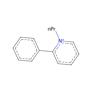 CCC[n+]1ccccc1-c1ccccc1